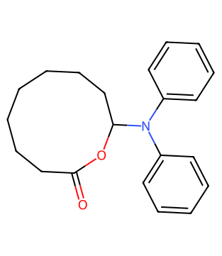 O=C1CCCCCCCC(N(c2ccccc2)c2ccccc2)O1